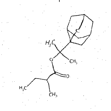 CCC(C)C(=O)OC(C)(C)C12CC3CC(CC1C3)C2